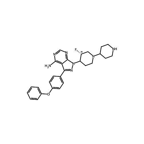 Nc1ncnc2c1c(-c1ccc(Oc3ccccc3)cc1)nn2C1CCN(C2CCNCC2)C[C@H]1F